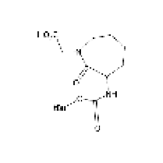 CC(C)(C)OC(=O)NC1CCCCN(CC(=O)O)C1=O